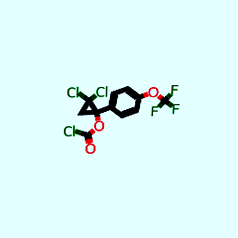 O=C(Cl)OC1(c2ccc(OC(F)(F)F)cc2)CC1(Cl)Cl